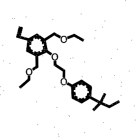 C=Cc1cc(COCC)c(OCCOc2ccc(C(C)(C)CC)cc2)c(COCC)c1